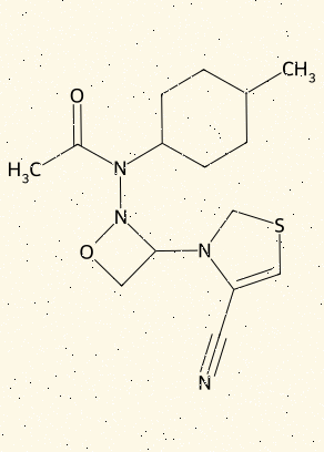 CC(=O)N(C1CCC(C)CC1)N1OCC1N1CSC=C1C#N